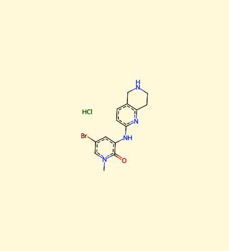 Cl.Cn1cc(Br)cc(Nc2ccc3c(n2)CCNC3)c1=O